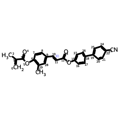 C=C(C)C(=O)Oc1ccc(/C=C/C(=O)Oc2ccc(-c3ccc(C#N)cc3)cc2)cc1C